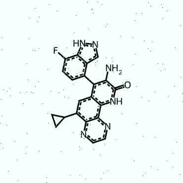 Nc1c(-c2ccc(F)c3[nH]ncc23)c2cc(C3CC3)c3nccnc3c2[nH]c1=O